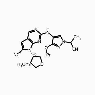 CC(C)Oc1nn(C(C)C#N)cc1Nc1ncc2cc(C#N)n([C@@H]3COC[C@@H]3C)c2n1